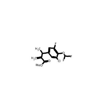 C=C(C(=O)OC)C(C)c1cc(F)c(OC(F)F)c(Cl)c1